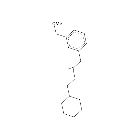 COCc1cccc(CNCCC2CCCCC2)c1